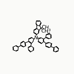 CC1(C)c2ccccc2-c2ccc(N(c3ccc(-c4ccc(-c5ccccc5)cc4)c(-c4ccccc4)c3)C3C=CC(c4ccc(-c5ccccc5)cc4)=C(c4ccccc4)C3)cc21